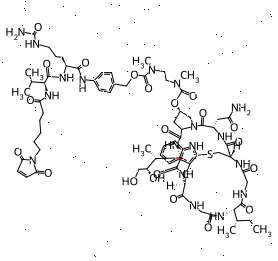 CC[C@H](C)[C@@H]1NC(=O)CNC(=O)[C@@H]2Cc3c([nH]c4ccccc34)SC[C@@H](NC(=O)CNC1=O)C(=O)N[C@@H](CC(N)=O)C(=O)N1C[C@H](OC(=O)N(C)CCN(C)C(=O)OCc3ccc(NC(=O)[C@H](CCCNC(N)=O)NC(=O)[C@@H](NC(=O)CCCCCN4C(=O)C=CC4=O)C(C)C)cc3)CC1C(=O)N[C@@H]([C@@H](C)[C@@H](O)CO)C(=O)N2